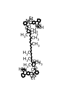 CCOc1nc2cccc(C(=O)OC3CC(C)=C(/C=C/C(C)=C/C=C/C(C)=C/C=C/C=C(C)/C=C/C=C(C)/C=C/C4=C(C)CC(OC(=O)c5cccc6nc(OCC)n(Cc7ccc(-c8ccccc8-c8nn[nH]n8)cc7)c56)CC4(C)C)C(C)(C)C3)c2n1Cc1ccc(-c2ccccc2-c2nn[nH]n2)cc1